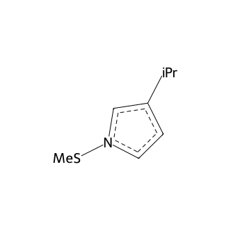 CSn1ccc(C(C)C)c1